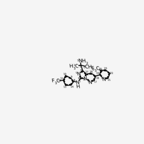 CC(C)(N)c1nc(Nc2ccc(C(F)(F)F)cc2)n2ncc(-c3ncccc3C(F)(F)F)cc12